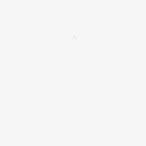 COc1ccc2c(c1)CNC=C2